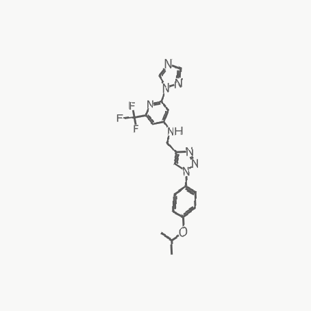 CC(C)Oc1ccc(-n2cc(CNc3cc(-n4cncn4)nc(C(F)(F)F)c3)nn2)cc1